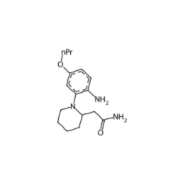 CCCOc1ccc(N)c(N2CCCCC2CC(N)=O)c1